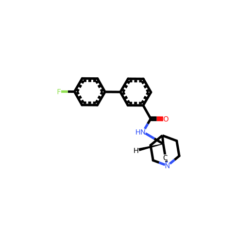 O=C(N[C@H]1CN2CCC1CC2)c1cccc(-c2ccc(F)cc2)c1